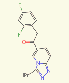 CC(C)c1nnc2ccc(C(=O)Cc3ccc(F)cc3F)cn12